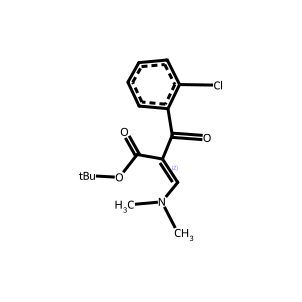 CN(C)/C=C(\C(=O)OC(C)(C)C)C(=O)c1ccccc1Cl